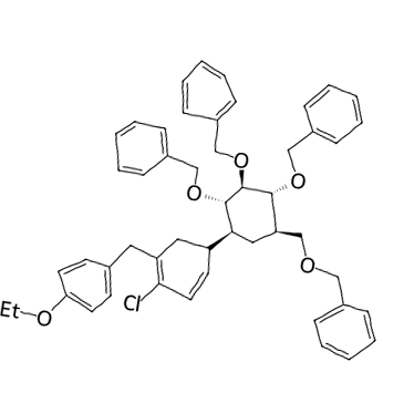 CCOc1ccc(CC2=C(Cl)C=CC([C@@H]3C[C@H](COCc4ccccc4)[C@@H](OCc4ccccc4)[C@H](OCc4ccccc4)[C@H]3OCc3ccccc3)C2)cc1